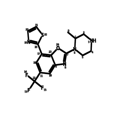 CC1CNCCN1c1nc2cc(C(F)(F)F)cc(-c3nccs3)c2o1